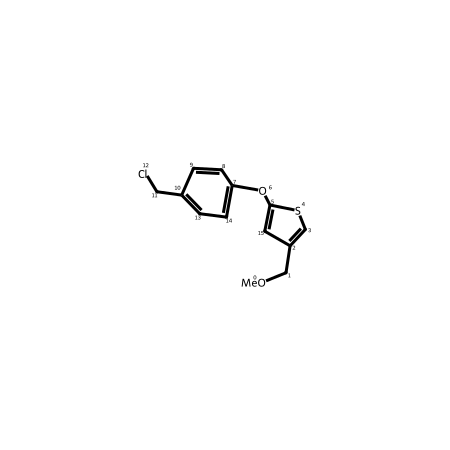 COCc1csc(Oc2ccc(CCl)cc2)c1